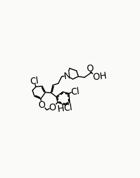 Cl.O=C(O)CC1CCN(CCC=C2C3=CC(Cl)CC=C3OCOc3ccc(Cl)cc32)C1